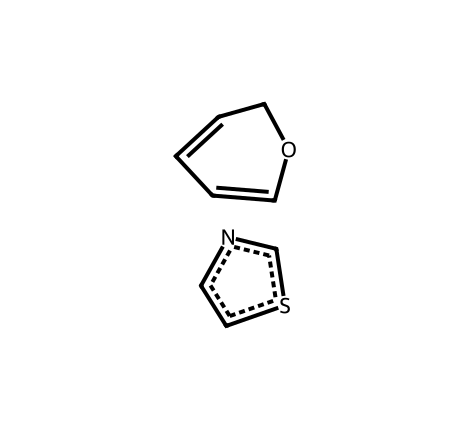 C1=CCOC=C1.c1cscn1